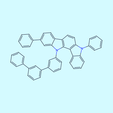 c1ccc(-c2cccc(-c3cccc(-n4c5cc(-c6ccccc6)ccc5c5ccc6c(c7ccccc7n6-c6ccccc6)c54)c3)c2)cc1